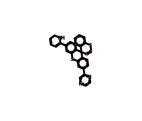 C1=CCNC(c2ccc3c(c2)Sc2cc(-c4cnccn4)ccc2C32c3ccccc3Sc3ccccc32)=C1